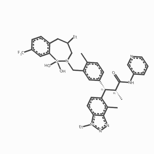 CCC1Cc2ccc(C(F)(F)F)cc2S(O)(O)N(Cc2cc([C@@H](c3ccc4c(nnn4CC)c3C)[C@@H](C)C(=O)Nc3cccnc3)ccc2C)C1